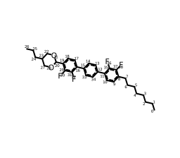 CCCCCCCCc1ccc(-c2ccc(-c3ccc(C4OCC(CCC)CO4)c(F)c3F)cc2)c(F)c1F